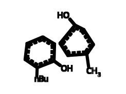 CCCCc1ccccc1O.Cc1ccc(O)cc1